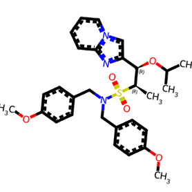 COc1ccc(CN(Cc2ccc(OC)cc2)S(=O)(=O)[C@H](C)[C@H](OC(C)C)c2cn3ccccc3n2)cc1